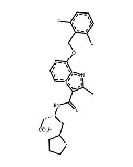 Cc1nc2c(OCc3c(F)cccc3F)cccn2c1C(=O)N[C@@H](CC(=O)O)CC1CCCC1